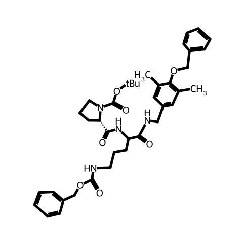 Cc1cc(CNC(=O)C(CCCNC(=O)OCc2ccccc2)NC(=O)[C@@H]2CCCN2C(=O)OC(C)(C)C)cc(C)c1OCc1ccccc1